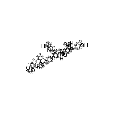 CC(C)c1ccccc1C1CN(Cc2cccc3c2OCCCO3)CCN1C1CC2(CCN(c3ccc(C(=O)NS(=O)(=O)c4ccc(NC[C@H]5CC[C@](C)(O)CC5)c([N+](=O)[O-])c4)c(Oc4cnc5[nH]ccc5c4)c3)CC2)C1